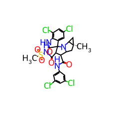 C[C@]12CC3C(C(=O)Nc4cc(Cl)cc(Cl)c4)C(C(=O)NS(C)(=O)=O)C4(C(=O)Nc5c(Cl)cc(Cl)cc54)N3C1C2